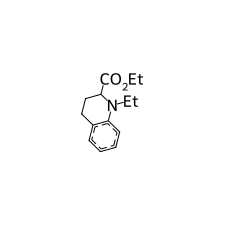 CCOC(=O)C1CCc2ccccc2N1CC